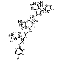 Cc1ccc(CCN(CCCN(C[C@@H]2CC[C@H](n3cc(-c4nccs4)c4c(N)ncnc43)C2)c2cn[nH]c2)C(=O)OC(C)(C)C)cc1